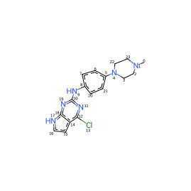 CN1CCN(c2ccc(Nc3nc(Cl)c4cc[nH]c4n3)cc2)CC1